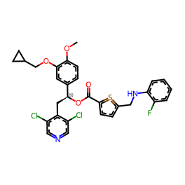 COc1ccc([C@H](Cc2c(Cl)cncc2Cl)OC(=O)c2ccc(CNc3ccccc3F)s2)cc1OCC1CC1